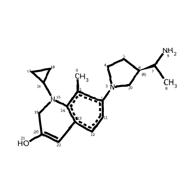 Cc1c(N2CC[C@@H](C(C)N)C2)ccc2c1N(C1CC1)CC(O)=C2